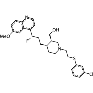 COc1ccc2nccc([C@@H](F)CC[C@@H]3CCN(CCSc4cccc(Cl)c4)C[C@@H]3CO)c2c1